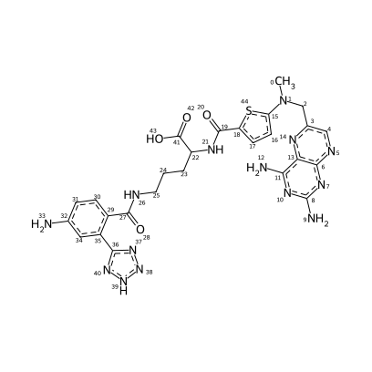 CN(Cc1cnc2nc(N)nc(N)c2n1)c1ccc(C(=O)NC(CCCNC(=O)c2ccc(N)cc2-c2nn[nH]n2)C(=O)O)s1